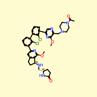 COc1nc(-c2cccc(-c3cccc(-c4cc5c(c(OC)n4)[C@@H](NC[C@@H]4CCC(=O)N4)CC5)c3Cl)c2Cl)cnc1CN1CCN(C(C)=O)CC1